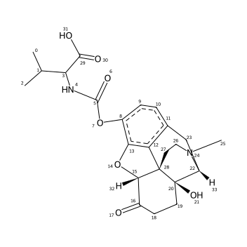 CC(C)C(NC(=O)Oc1ccc2c3c1O[C@H]1C(=O)CC[C@@]4(O)[C@@H](C2)N(C)CC[C@]314)C(=O)O